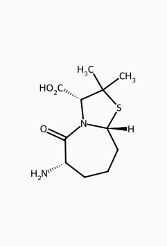 CC1(C)S[C@@H]2CCC[C@H](N)C(=O)N2[C@@H]1C(=O)O